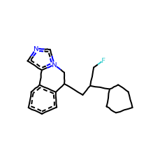 FCC(CC1Cn2cncc2-c2ccccc21)C1CCCCC1